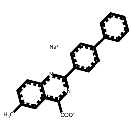 Cc1ccc2nc(-c3ccc(-c4ccccc4)cc3)nc(C(=O)[O-])c2c1.[Na+]